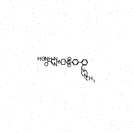 CN1CCN(Cc2ccccc2-c2ccc(S(=O)(=O)N3CCN(c4ncc(C(=O)NO)cn4)CC3)cc2)CC1